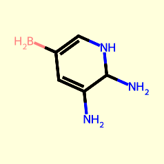 BC1=CNC(N)C(N)=C1